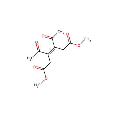 COC(=O)C/C(C(C)=O)=C(\CC(=O)OC)C(C)=O